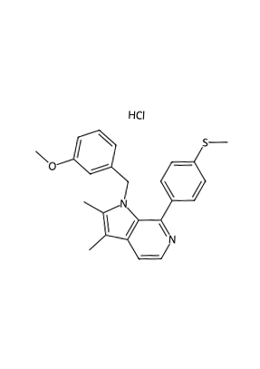 COc1cccc(Cn2c(C)c(C)c3ccnc(-c4ccc(SC)cc4)c32)c1.Cl